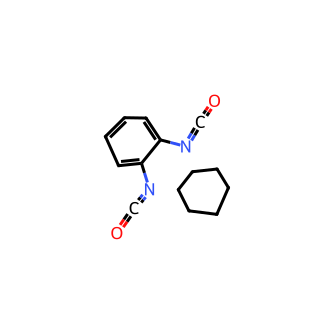 C1CCCCC1.O=C=Nc1ccccc1N=C=O